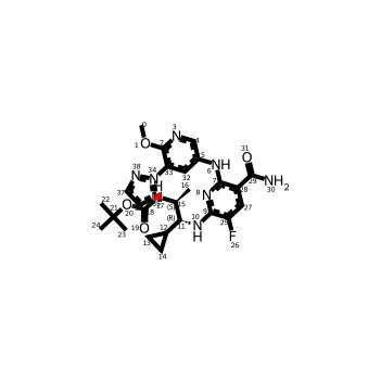 COc1ncc(Nc2nc(N[C@H](C3CC3)[C@H](C)NC(=O)OC(C)(C)C)c(F)cc2C(N)=O)cc1-n1nccn1